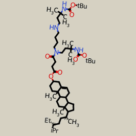 CC[C@H](CC[C@@H](C)C1CCC2C3CC=C4CC(OC(=O)CCC(=O)N(CCCCNCCC(C)(C)NC(=O)OC(C)(C)C)CCC(C)(C)NC(=O)OC(C)(C)C)CCC4(C)C3CCC21C)C(C)C